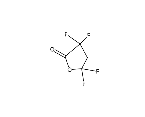 O=C1OC(F)(F)CC1(F)F